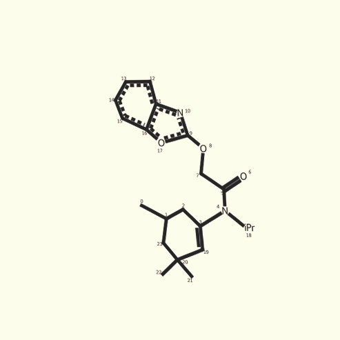 CC1CC(N(C(=O)COc2nc3ccccc3o2)C(C)C)=CC(C)(C)C1